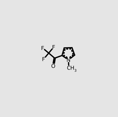 Cn1cccc1C(=O)C(F)(F)F